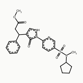 COC(=O)CC(c1ccccc1)c1c[nH]n(-c2ccc(S(=O)(=O)N(C)C3CCCC3)cn2)c1=O